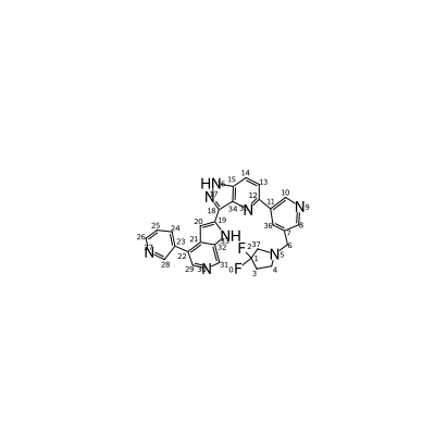 FC1(F)CCN(Cc2cncc(-c3ccc4[nH]nc(-c5cc6c(-c7cccnc7)cncc6[nH]5)c4n3)c2)C1